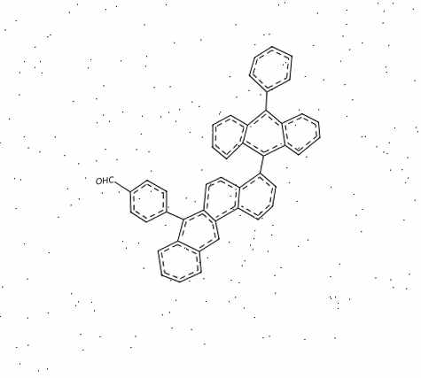 O=Cc1ccc(-c2c3ccccc3cc3c2ccc2c(-c4c5ccccc5c(-c5ccccc5)c5ccccc45)cccc23)cc1